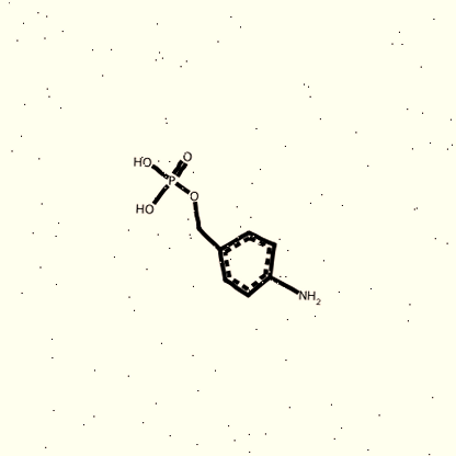 Nc1ccc(COP(=O)(O)O)cc1